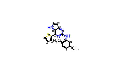 Cc1ccc(C)c(Nc2nc(-c3cccs3)c3[nH]ccc3n2)c1